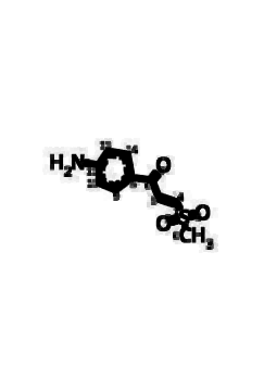 CS(=O)(=O)C=CC(=O)c1ccc(N)cc1